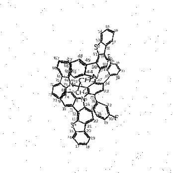 CC(C)(c1c(-n2c3ccccc3c3c4sc5ccccc5c4ccc32)c(-c2cccc(F)c2)cc(-c2cccc(F)c2)c1-n1c2ccccc2c2c3sc4ccccc4c3ccc21)n1c2ccccc2c2ccccc21